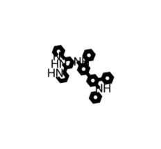 C1=CCNC(C2C=C(Nc3ccc(-c4ccc(Nc5ccccc5)c(-c5ccccc5)c4)cc3-c3ccccc3)C=C(c3ccccn3)N2)=C1